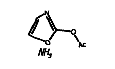 CC(=O)Oc1ncco1.N